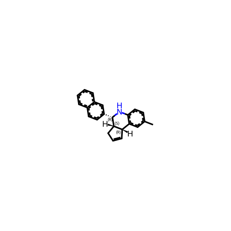 Cc1ccc2c(c1)[C@@H]1C=CC[C@@H]1[C@H](c1ccc3ccccc3c1)N2